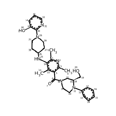 Cc1nc(C)c(C(=O)N2CCN(c3ccccc3)[C@H](CO)C2)c(C)c1NC1CCN(c2ncccc2O)CC1